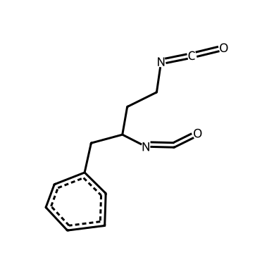 O=C=NCCC(Cc1ccccc1)N=C=O